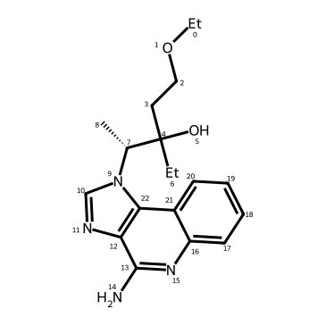 CCOCCC(O)(CC)[C@@H](C)n1cnc2c(N)nc3ccccc3c21